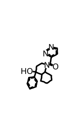 O=C(c1ccncn1)N1CCC(O)(c2ccccc2)C2CCCCC21